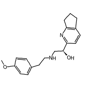 COc1ccc(CCNC[C@H](O)c2ccc3c(n2)CCC3)cc1